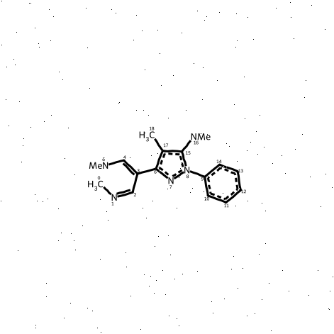 C/N=C\C(=C/NC)c1nn(-c2ccccc2)c(NC)c1C